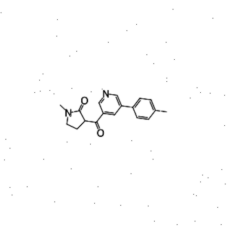 Cc1ccc(-c2cncc(C(=O)C3CCN(C)C3=O)c2)cc1